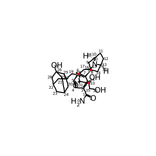 NC(=O)c1cccc([C@H]2C[C@H]3CC[C@@H](C2)N3CCN(CC23CC4CC(CC(O)(C4)C2)C3)C(=O)[C@@H](O)CO)c1